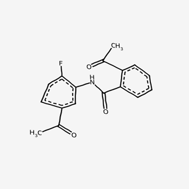 CC(=O)c1ccc(F)c(NC(=O)c2ccccc2C(C)=O)c1